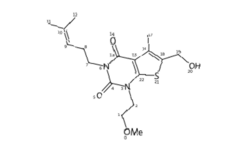 COCCn1c(=O)n(CCC=C(C)C)c(=O)c2c(C)c(CO)sc21